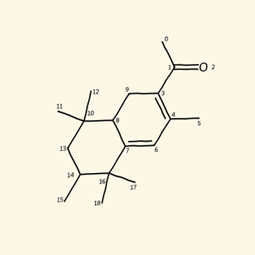 CC(=O)C1=C(C)C=C2C(C1)C(C)(C)CC(C)C2(C)C